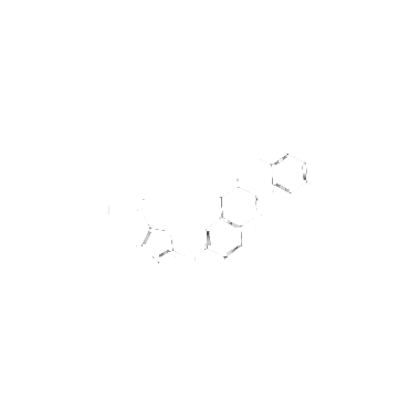 Cc1ccccc1[C@H]1CCc2cc(Oc3ncc(C(=O)O)s3)ccc2O1